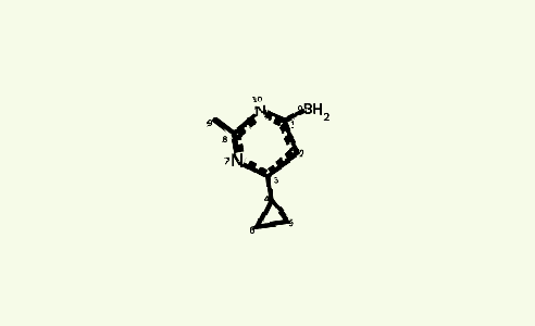 Bc1cc(C2CC2)nc(C)n1